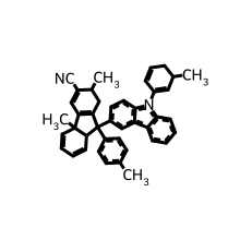 Cc1ccc(C2(c3ccc4c(c3)c3ccccc3n4C3=CC(C)CC=C3)C3=C(C=C(C#N)C(C)C3)C3(C)C=CC=CC32)cc1